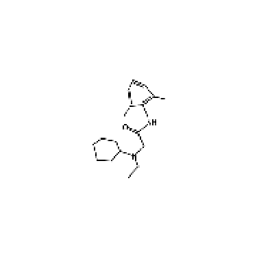 CCN(CC(=O)Nc1c(C)cccc1C)C1CCCCC1